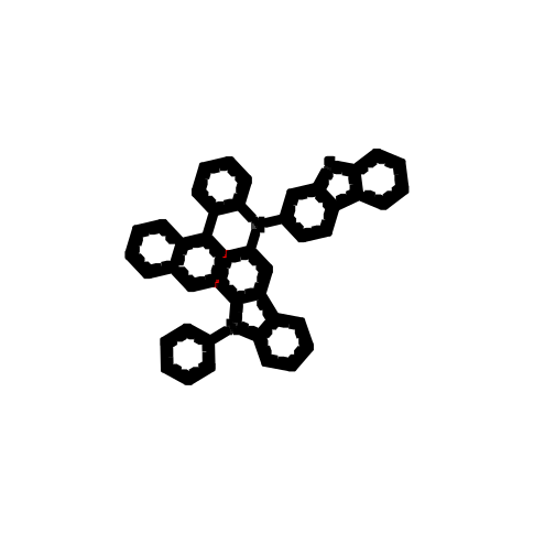 c1ccc(-n2c3ccccc3c3cc(N(c4ccc5c(c4)sc4ccccc45)c4ccccc4-c4cccc5ccccc45)ccc32)cc1